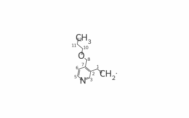 [CH2]Cc1cnccc1COCCC